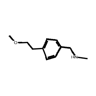 CNCc1ccc(CCOC)cc1